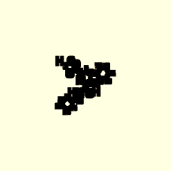 COC(=O)c1cc2c([nH]c3ccccc32)c(C(=O)NCc2ccccc2)n1